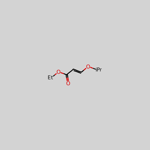 CCOC(=O)C=COC(C)C